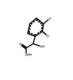 COC(=O)C(O)c1cccc(Cl)c1Cl